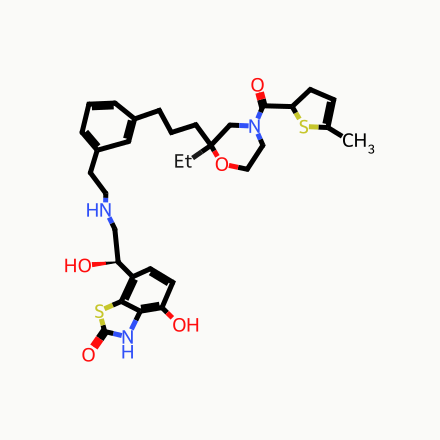 CCC1(CCCc2cccc(CCNC[C@H](O)c3ccc(O)c4[nH]c(=O)sc34)c2)CN(C(=O)C2CC=C(C)S2)CCO1